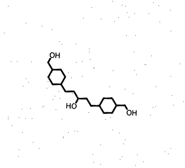 OCC1CCC(CCC(O)CCC2CCC(CO)CC2)CC1